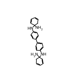 NC1(Nc2ccc(-c3ccc(NC4(N)C=CC=CC4)cc3)cc2)C=CC=CC1